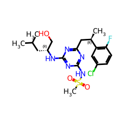 CC(C)C[C@H](CO)Nc1nc(C[C@@H](C)c2cc(Cl)ccc2F)nc(NS(C)(=O)=O)n1